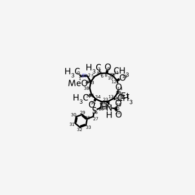 C/C=C/[C@]1(OC)C[C@@H](C)C(=O)[C@@H](C)C(=O)O[C@H](CC)[C@@]2(C)OC(=O)N[C@@H]2[C@@H](CSCc2ccccc2)C(=O)[C@H](C)C1